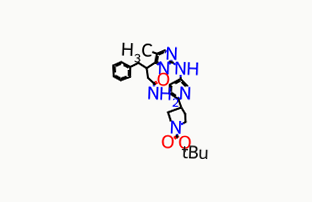 Cc1cnc(Nc2ccc(C3CCN(C(=O)OC(C)(C)C)CC3)nc2)nc1C(CC(N)=O)Cc1ccccc1